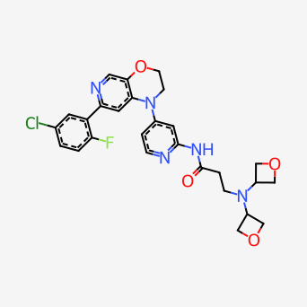 O=C(CCN(C1COC1)C1COC1)Nc1cc(N2CCOc3cnc(-c4cc(Cl)ccc4F)cc32)ccn1